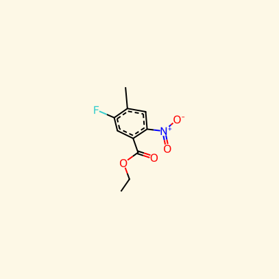 CCOC(=O)c1cc(F)c(C)cc1[N+](=O)[O-]